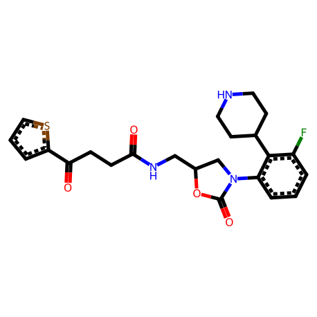 O=C(CCC(=O)c1cccs1)NCC1CN(c2cccc(F)c2C2CCNCC2)C(=O)O1